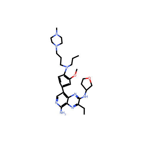 CCCN(CCCN1CCN(C)CC1)c1ccc(-c2cnc(N)c3nc(CC)c(NC4CCOC4)nc23)cc1OC